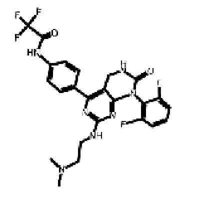 CN(C)CCNc1nc(-c2ccc(NC(=O)C(F)(F)F)cc2)c2c(n1)N(c1c(F)cccc1F)C(=O)NC2